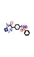 CN(C(=O)C(N)C1CCC(NS(=O)(=O)c2ccccc2)CC1)C1CCC1